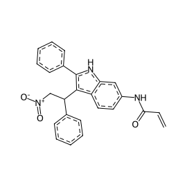 C=CC(=O)Nc1ccc2c(C(C[N+](=O)[O-])c3ccccc3)c(-c3ccccc3)[nH]c2c1